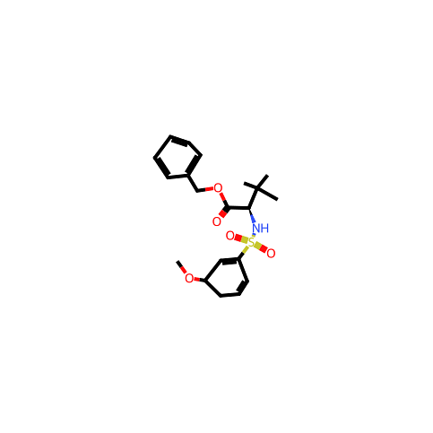 COC1C=C(S(=O)(=O)N[C@@H](C(=O)OCc2ccccc2)C(C)(C)C)C=CC1